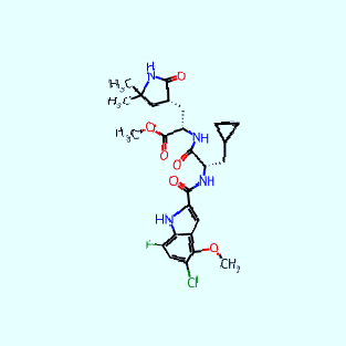 COC(=O)[C@H](C[C@@H]1CC(C)(C)NC1=O)NC(=O)[C@H](CC1CC1)NC(=O)c1cc2c(OC)c(Cl)cc(F)c2[nH]1